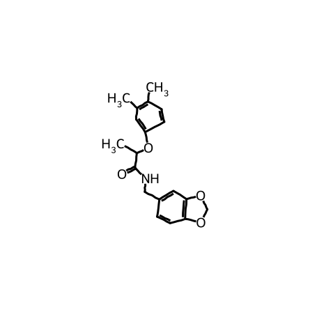 Cc1ccc(OC(C)C(=O)NCc2ccc3c(c2)OCO3)cc1C